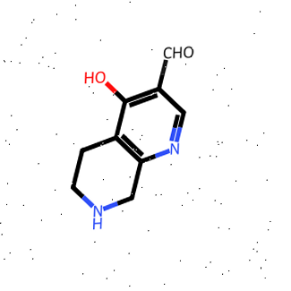 O=Cc1cnc2c(c1O)CCNC2